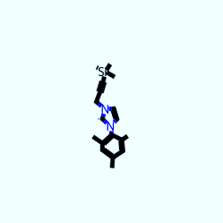 Cc1cc(C)c(N2[CH]N(CC#C[Si](C)(C)C)C=C2)c(C)c1